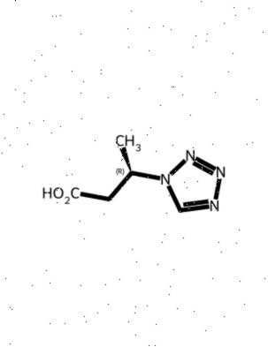 C[C@H](CC(=O)O)n1cnnn1